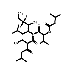 CC(C)CC(=O)NC(C(=O)N(C(=O)C(CN)C(=O)CC(C)C)C(CC(C)C)C(O)C(F)(F)CN)C(C)C